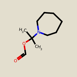 CC(C)(OC=O)N1CCCCCC1